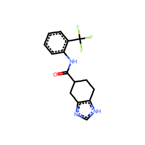 O=C(Nc1ccccc1C(F)(F)F)C1CCc2[nH]cnc2C1